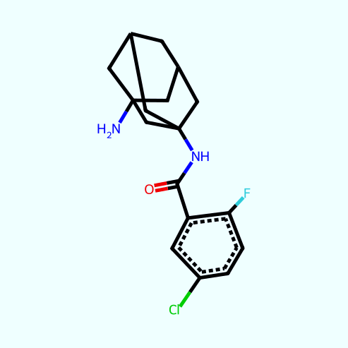 NC12CC3CC(C1)CC(NC(=O)c1cc(Cl)ccc1F)(C3)C2